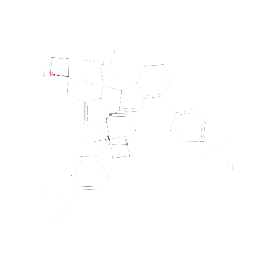 CCCC1(CC2=Cc3c(-c4ccc([Si](C)(C)C)cc4)cccc3[CH]2[Zr]([Cl])([Cl])([CH]2C(CC3(CCC)CCC3)=Cc3c(-c4ccc([Si](C)(C)C)cc4)cccc32)[SiH](C)C)CCC1